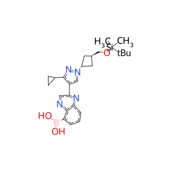 CC(C)(C)[Si](C)(C)OC[C@H]1C[C@H](n2cc(-c3cnc4c(B(O)O)cccc4n3)c(C3CC3)n2)C1